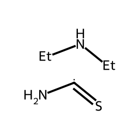 CCNCC.N[C]=S